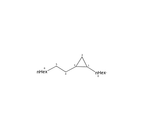 CCCCC[CH]C1CC1CCCCCCCC